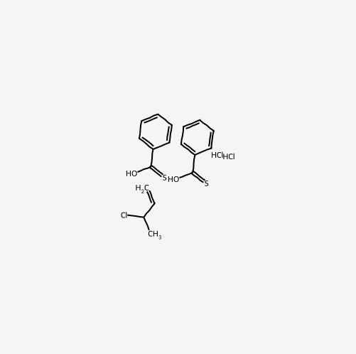 C=CC(C)Cl.Cl.Cl.OC(=S)c1ccccc1.OC(=S)c1ccccc1